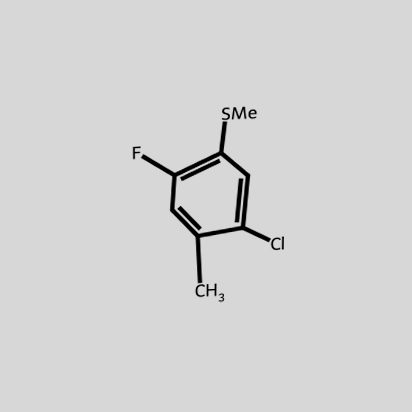 CSc1cc(Cl)c(C)cc1F